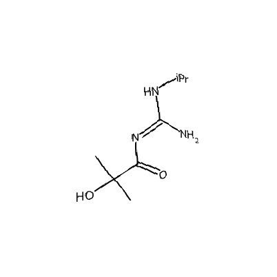 CC(C)N/C(N)=N/C(=O)C(C)(C)O